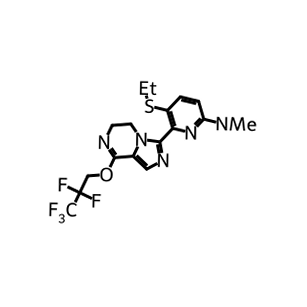 CCSc1ccc(NC)nc1-c1ncc2n1CCN=C2OCC(F)(F)C(F)(F)F